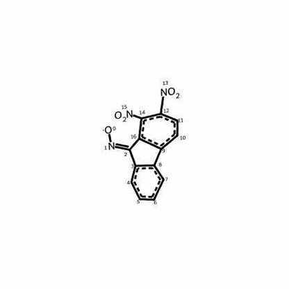 [O]N=C1c2ccccc2-c2ccc([N+](=O)[O-])c([N+](=O)[O-])c21